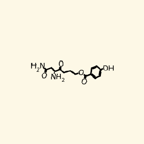 NC(=O)C[C@H](N)C(=O)CCCOC(=O)c1ccc(O)cc1